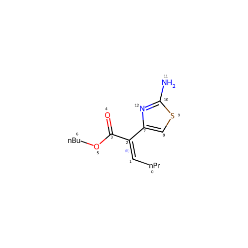 CCC/C=C(/C(=O)OCCCC)c1csc(N)n1